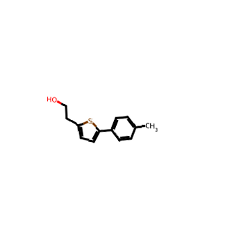 Cc1ccc(-c2ccc(CCO)s2)cc1